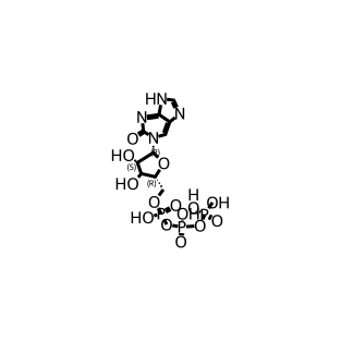 O=c1nc2[nH]cnc2cn1[C@@H]1O[C@H](COP(=O)(O)OP(=O)(O)OP(=O)(O)O)C(O)[C@@H]1O